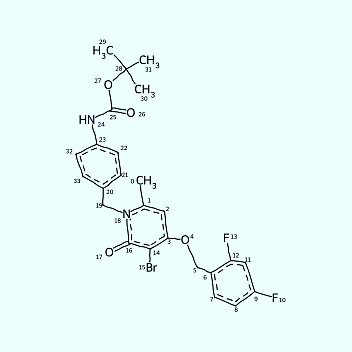 Cc1cc(OCc2ccc(F)cc2F)c(Br)c(=O)n1Cc1ccc(NC(=O)OC(C)(C)C)cc1